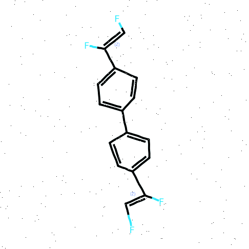 F/C=C(\F)c1ccc(-c2ccc(/C(F)=C/F)cc2)cc1